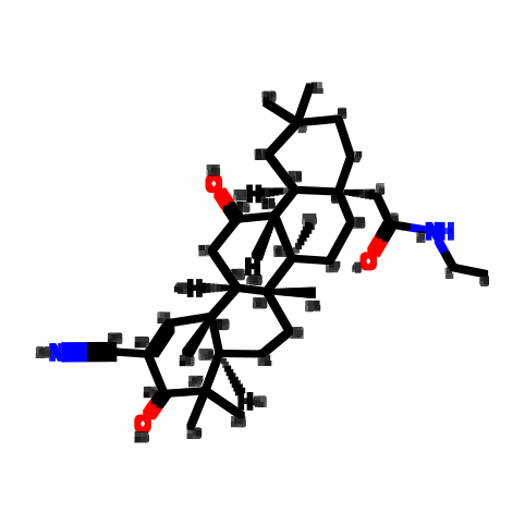 CCNC(=O)C[C@@]12CCC(C)(C)C[C@@H]1[C@H]1C(=O)C[C@@H]3[C@@]4(C)C=C(C#N)C(=O)C(C)(C)[C@@H]4CC[C@@]3(C)[C@]1(C)CC2